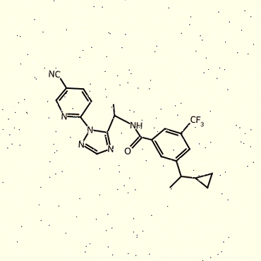 CC(NC(=O)c1cc(C(C)C2CC2)cc(C(F)(F)F)c1)c1ncnn1-c1ccc(C#N)cn1